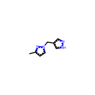 Cc1ccn(Cc2cn[nH]c2)n1